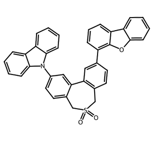 O=S1(=O)Cc2ccc(-c3cccc4c3oc3ccccc34)cc2-c2cc(-n3c4ccccc4c4ccccc43)ccc2C1